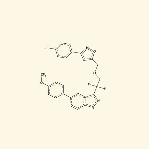 FC(F)(F)Oc1ccc(-c2ccc3nnc(C(F)(F)COCc4cc(-c5ccc(Cl)cc5)no4)n3c2)cc1